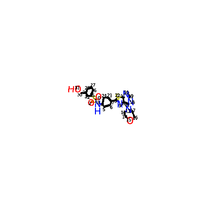 O=S(=O)(Nc1ccc(-c2nc3c(N4CCOCC4)ncnc3s2)cc1)c1cccc(CO)c1